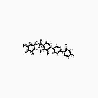 Cc1ccc(-c2ccc(-c3ccc(C(F)(F)Oc4cc(F)c(F)c(F)c4)c(F)c3F)cc2)c(F)c1